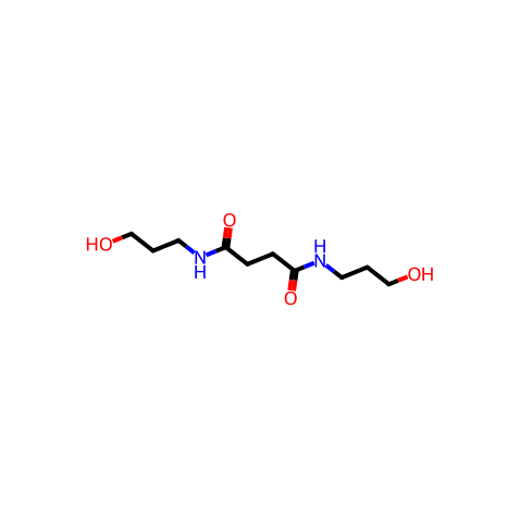 O=C(CCC(=O)NCCCO)NCCCO